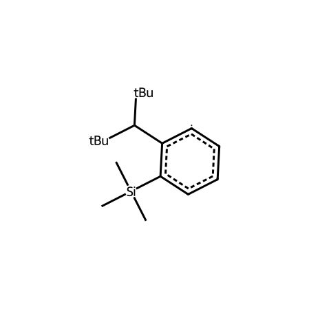 CC(C)(C)C(c1[c]cccc1[Si](C)(C)C)C(C)(C)C